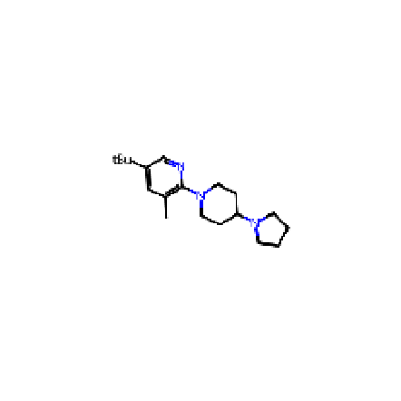 Cc1cc(C(C)(C)C)cnc1N1CCC(N2CCCC2)CC1